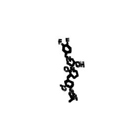 COc1cc(C=C2CCCN(C3CN(Cc4ccc(F)c(F)c4)CC3O)C2=O)ccc1-n1cnc(C)c1